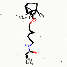 C=CC(=O)NCCCCOC1CC2CCC1(C)C2(C)C